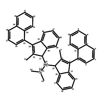 CC1=C(c2cccc3ccccc23)c2ccccc2[CH]1[Hf]([CH]1C(C)=C(c2cccc3ccccc23)c2ccccc21)[SiH](C)C